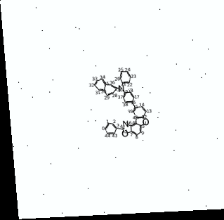 c1ccc(-c2nc3c(ccc4oc5ccc(-c6ccc(N(c7ccccc7)c7ccc8ccccc8c7)cc6)cc5c43)o2)cc1